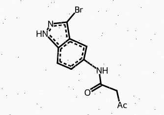 CC(=O)CC(=O)Nc1ccc2[nH]nc(Br)c2c1